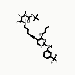 CCCNc1nc(Nc2cccc(C(F)(F)F)c2)ncc1C#CCCCNC(=O)[C@H](C)N(C)C(=O)OC(C)(C)C